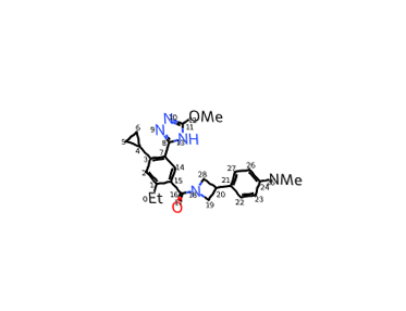 CCc1cc(C2CC2)c(-c2nnc(OC)[nH]2)cc1C(=O)N1CC(c2ccc(NC)cc2)C1